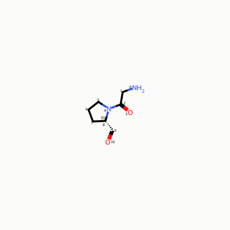 NCC(=O)N1CCC[C@H]1C=O